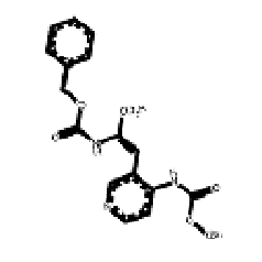 CC(C)(C)OC(=O)Nc1ccncc1C=C(NC(=O)OCc1ccccc1)C(=O)O